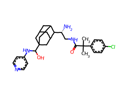 CC(C)(C(=O)NC[C@@H](N)C1C2CC3CC1CC(C(O)Nc1ccncc1)(C3)C2)c1ccc(Cl)cc1